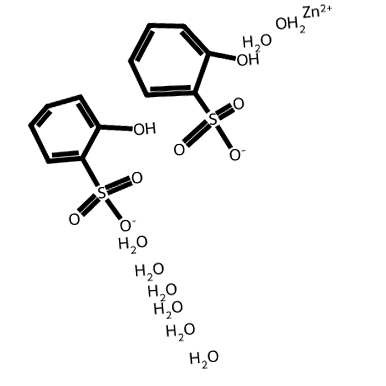 O.O.O.O.O.O.O.O.O=S(=O)([O-])c1ccccc1O.O=S(=O)([O-])c1ccccc1O.[Zn+2]